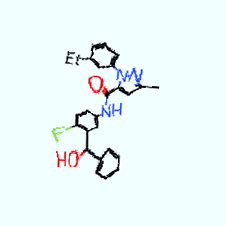 CCc1cccc(-n2nc(C)cc2C(=O)Nc2ccc(F)c(C(O)c3ccccc3)c2)c1